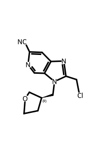 N#Cc1cc2nc(CCl)n(C[C@H]3CCOC3)c2cn1